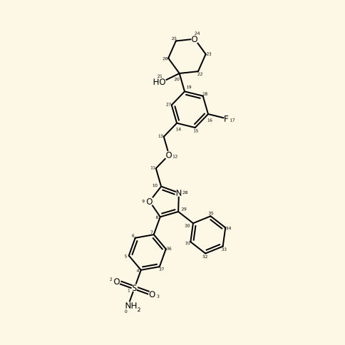 NS(=O)(=O)c1ccc(-c2oc(COCc3cc(F)cc(C4(O)CCOCC4)c3)nc2-c2ccccc2)cc1